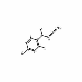 Cc1cc(Br)cnc1C(C)N=[N+]=[N-]